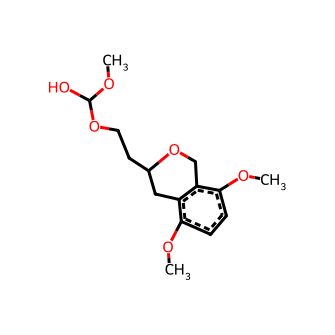 COc1ccc(OC)c2c1COC(CCOC(O)OC)C2